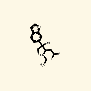 CCNC(CC(F)F)C(O)(CF)c1ccc2ccoc2c1